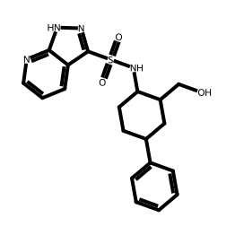 O=S(=O)(NC1CCC(c2ccccc2)CC1CO)c1n[nH]c2ncccc12